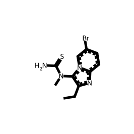 CCc1nc2ccc(Br)cn2c1N(C)C(N)=S